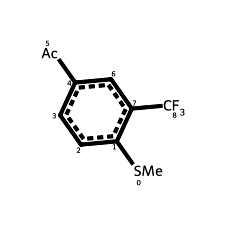 CSc1ccc(C(C)=O)cc1C(F)(F)F